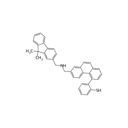 CC1(C)c2ccccc2-c2ccc(CNCc3ccc4c(ccc5cccc(-c6ccccc6S)c54)c3)cc21